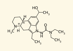 CCc1c2c3c(cc(C(C)O)cc3n1NC(=O)N(CC)CC)[C@H]1CCCN(C)[C@@H]1C2